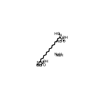 O=P(O)(O)/C(CCCCCCCCCCCCC/C(=N\O)P(=O)(O)O)=N\O.[NaH].[NaH]